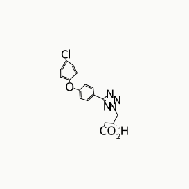 C[C@H](CC(=O)O)Cn1nnc(-c2ccc(Oc3ccc(Cl)cc3)cc2)n1